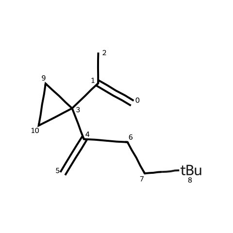 C=C(C)C1(C(=C)CCC(C)(C)C)CC1